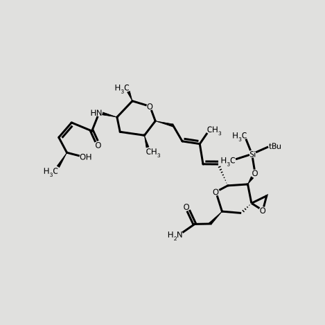 CC(/C=C/[C@H]1O[C@H](CC(N)=O)C[C@@]2(CO2)[C@@H]1O[Si](C)(C)C(C)(C)C)=C\C[C@@H]1O[C@H](C)[C@H](NC(=O)/C=C\[C@H](C)O)C[C@@H]1C